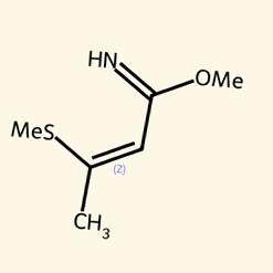 COC(=N)/C=C(/C)SC